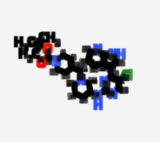 CC(C)(C)OC(=O)N1CC=C(CN2CCC[C@@H](Nc3ncc(Cl)c(-c4c[nH]c5ncccc45)n3)C2)CC1